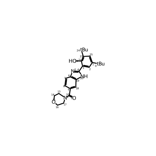 CC(C)(C)c1cc(-c2nc3ccc(C(=O)N4CCOCC4)cc3[nH]2)c(O)c(C(C)(C)C)c1